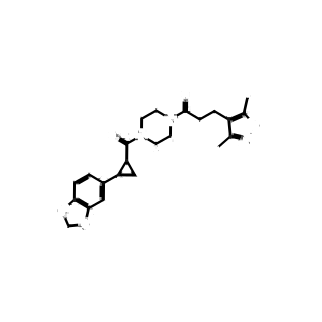 Cc1noc(C)c1CCC(=O)N1CCN(C(=O)C2CC2c2ccc3c(c2)OCO3)CC1